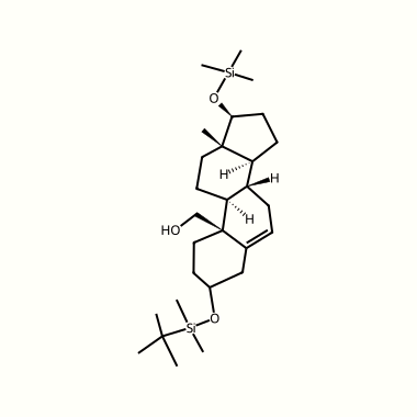 CC(C)(C)[Si](C)(C)OC1CC[C@@]2(CO)C(=CC[C@@H]3[C@@H]2CC[C@]2(C)[C@@H](O[Si](C)(C)C)CC[C@@H]32)C1